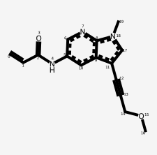 C=CC(=O)Nc1cnc2c(c1)c(C#CCOC)cn2C